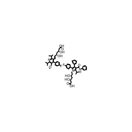 CC(C)c1c(C(=O)Nc2ccccc2)c(-c2ccccc2)c(-c2ccc(F)cc2)n1CC[C@@H](O)C[C@@H](O)CC(=O)O.COCc1c(C(C)C)nc(C(C)C)c(/C=C/[C@@H](O)C[C@@H](O)CC(=O)O)c1-c1ccc(F)cc1